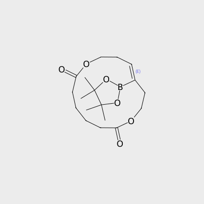 CC1(C)OB(/C2=C\CCOC(=O)CCCCC(=O)OCC2)OC1(C)C